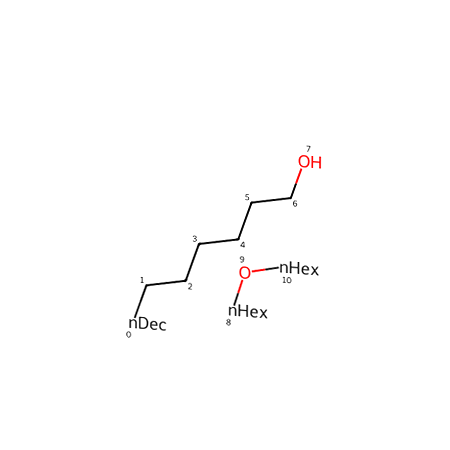 CCCCCCCCCCCCCCCCO.CCCCCCOCCCCCC